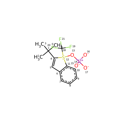 CC(C)(C)C1=Cc2ccccc2S1(O[I+3]([O-])([O-])[O-])C(F)(F)F